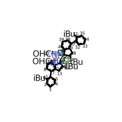 CCC(C)c1ccccc1-c1cccc2c1C=C(C(C)(C)C)[CH]2[Zr]([Cl])([Cl])([B](NC=O)NC=O)[CH]1C(C(C)(C)C)=Cc2c(-c3ccccc3C(C)CC)cccc21